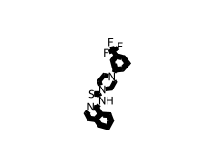 FC(F)(F)c1cccc(N2CCN(C(=S)Nc3nccc4ccccc34)CC2)c1